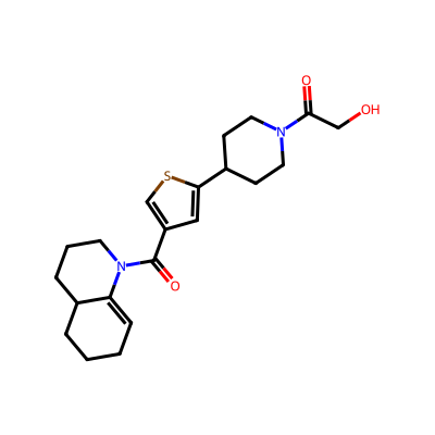 O=C(CO)N1CCC(c2cc(C(=O)N3CCCC4CCCC=C43)cs2)CC1